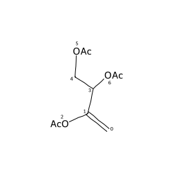 C=C(OC(C)=O)C(COC(C)=O)OC(C)=O